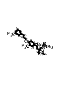 CC1=NC(CCc2ccc(OCCCc3cccc(C(F)(F)F)c3)c(C(F)(F)F)c2)(COP(=O)(C(C)(C)C)C(C)(C)C)CO1